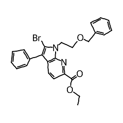 CCOC(=O)c1ccc2c(-c3ccccc3)c(Br)n(CCOCc3ccccc3)c2n1